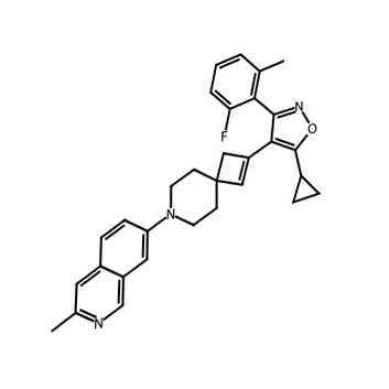 Cc1cc2ccc(N3CCC4(C=C(c5c(-c6c(C)cccc6F)noc5C5CC5)C4)CC3)cc2cn1